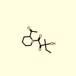 CCC(C)(O)C(=O)C(=O)N1CCCCC1C(C)=O